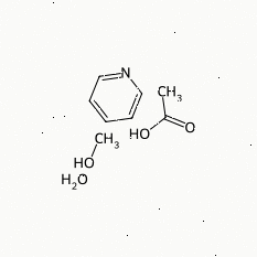 CC(=O)O.CO.O.c1ccncc1